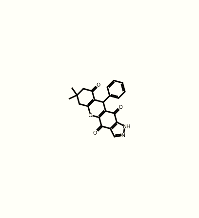 CC1(C)CC(=O)C2=C(C1)OC1=C(C(=O)c3[nH]ncc3C1=O)C2c1ccccc1